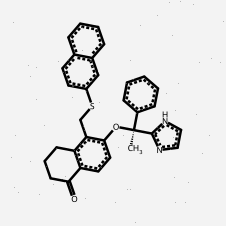 C[C@](Oc1ccc2c(c1CSc1ccc3ccccc3c1)CCCC2=O)(c1ccccc1)c1ncc[nH]1